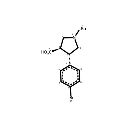 CC(C)(C)N1C[C@H](C(=O)O)[C@@H](c2ccc(Br)cc2)C1